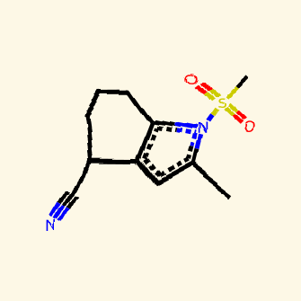 Cc1cc2c(n1S(C)(=O)=O)CCCC2C#N